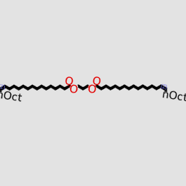 CCCCCCCC/C=C\CCCCCCCCCCCCCC(=O)OCCCOC(=O)CCCCCCCCCCCCC/C=C\CCCCCCCC